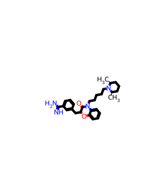 C[C@@H]1CCC[C@H](C)N1CCCCCN1C(=O)C(Cc2cccc(C(=N)N)c2)Oc2ccccc21